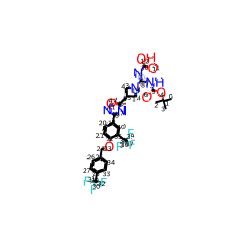 CC(C)(C)OC(=O)N/C(=N\C(=O)O)N1CC(c2nc(-c3ccc(OCc4ccc(C(F)(F)F)cc4)c(C(F)(F)F)c3)no2)C1